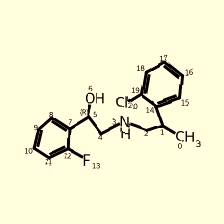 CC(CNC[C@H](O)c1ccccc1F)c1ccccc1Cl